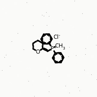 C[P+](C=C1CCCCO1)(c1ccccc1)c1ccccc1.[Cl-]